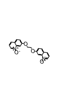 [O-][n+]1cccc2ccc(OCCOc3ccc4ccc[n+]([O-])c4c3)cc21